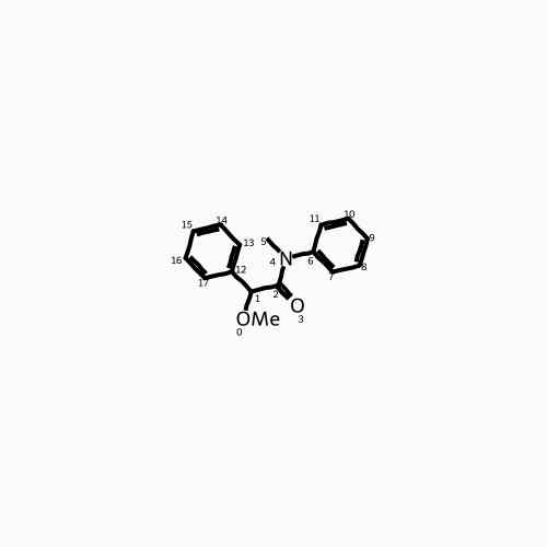 COC(C(=O)N(C)c1ccccc1)c1ccccc1